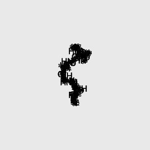 CN[C@@H](C)C(=O)N[C@H](C(=O)N1C[C@@H](NC(=O)CCC(=O)NCCN2C[C@@H]3CN(CCC(=O)NCc4cccc(CNc5cc(N6CCC7(CC6)CN(c6cc(F)c(CN8CCC(C)(C)CC8)cc6F)CC(=O)N7)ncn5)c4)C[C@@H]3C2)C[C@H]1C(=O)NC1CCCc2ccccc21)C1CCCCC1